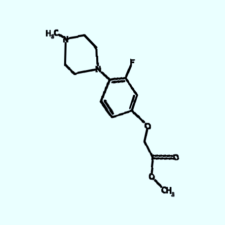 COC(=O)COc1ccc(N2CCN(C)CC2)c(F)c1